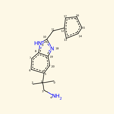 CC(C)(CN)c1ccc2[nH]c(Cc3ccccc3)nc2c1